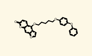 O=c1ccc2c(OCCCCCOc3ccc(Oc4ccccc4)cc3)c3ccoc3cc2o1